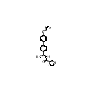 CCOc1ccc(-c2ccc(C(C)NC(=O)c3cnco3)cc2)cc1